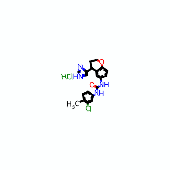 Cc1ccc(NC(=O)Nc2ccc3c(c2)C(c2c[nH]cn2)CCO3)cc1Cl.Cl